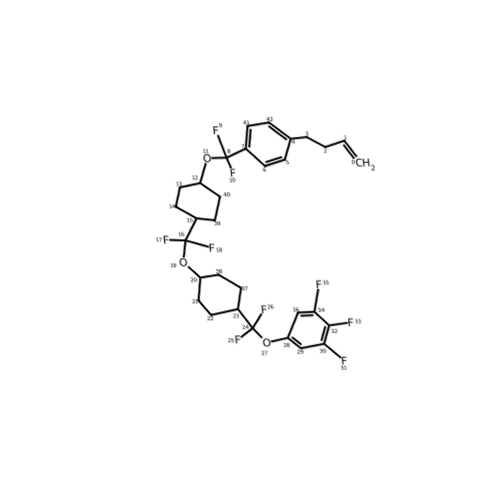 C=CCCc1ccc(C(F)(F)OC2CCC(C(F)(F)OC3CCC(C(F)(F)Oc4cc(F)c(F)c(F)c4)CC3)CC2)cc1